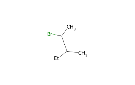 CCC(C)C(C)Br